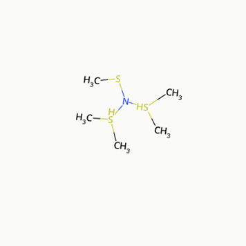 CSN([SH](C)C)[SH](C)C